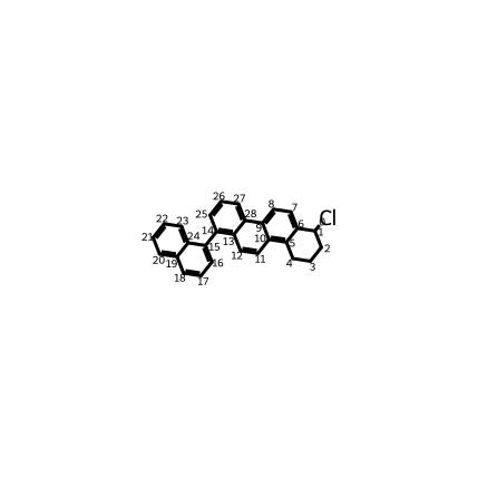 ClC1CCCc2c1ccc1c2ccc2c(-c3cccc4ccccc34)cccc21